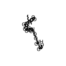 B[C@@]1(OC(=O)CN(C)C(=O)CCOCCOCCNC(=O)CCN2C(=O)C=CC2=O)C(=O)OCc2c1cc1n(c2=O)Cc2c-1nc1cc3c(cc1c2CCCC)OCO3